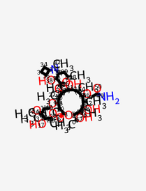 CC[C@H]1OC(=O)[C@H](C)[C@@H](O[C@H]2C[C@@](C)(OC)[C@@H](O)[C@H](C)O2)[C@H](C)[C@@H](O[C@@H]2O[C@H](C)C[C@H](N(C)C3CCC3)[C@H]2O)[C@](C)(O)C[C@@H](C)[C@H](OCC(N)=O)[C@H](C)[C@@H](O)[C@]1(C)O